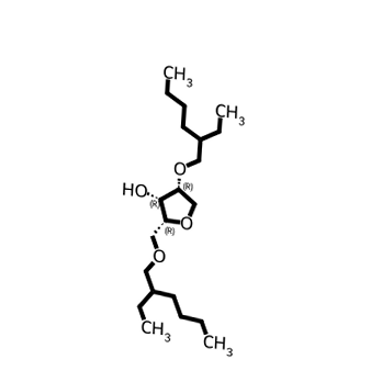 CCCCC(CC)COC[C@H]1OC[C@@H](OCC(CC)CCCC)[C@H]1O